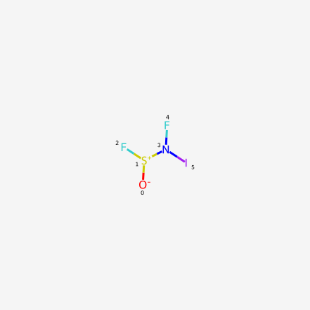 [O-][S+](F)N(F)I